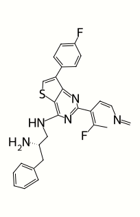 C=N/C=C\C(=C(/C)F)c1nc(NC[C@@H](N)Cc2ccccc2)c2scc(-c3ccc(F)cc3)c2n1